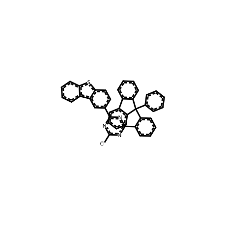 Clc1nc(-c2ccc3sc4ccccc4c3c2)nc(-c2ccccc2C2(c3ccccc3)c3ccccc3-c3ccccc32)n1